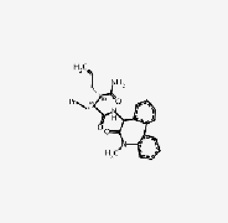 C=CC[C@H](C(N)=O)[C@@H](CC(C)C)C(=O)NC1C(=O)N(C)c2ccccc2-c2ccccc21